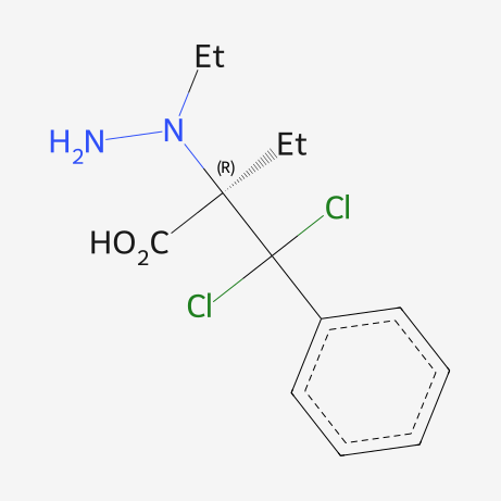 CCN(N)[C@](CC)(C(=O)O)C(Cl)(Cl)c1ccccc1